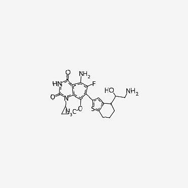 COc1c(-c2cc3c(s2)CCCC3C(O)CN)c(F)c(N)c2c(=O)[nH]c(=O)n(C3CC3)c12